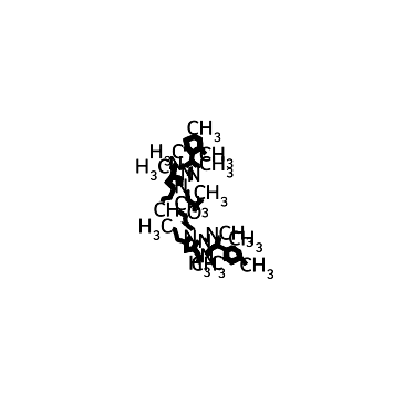 CCCc1cc2c(C)nc3c(-c4c(C)cc(C)cc4C)c(C)nn3c2n1CCC(CC)OC(CC)CCn1c(CCC)cc2c(C)nc3c(-c4c(C)cc(C)cc4C)c(C)nn3c21